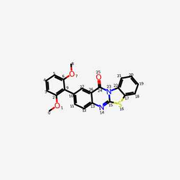 COc1cccc(OC)c1-c1ccc2nc3sc4ccccc4n3c(=O)c2c1